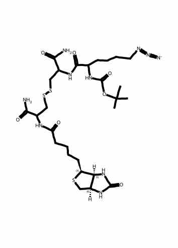 CC(C)(C)OC(=O)NC(CCCCN=[N+]=[N-])C(=O)NC(CSSCC(NC(=O)CCCC[C@@H]1SC[C@@H]2NC(=O)N[C@@H]21)C(N)=O)C(N)=O